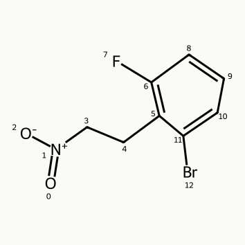 O=[N+]([O-])CCc1c(F)cccc1Br